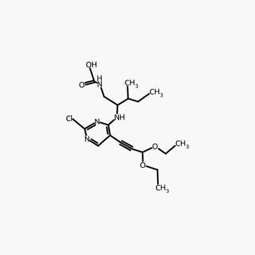 CCOC(C#Cc1cnc(Cl)nc1NC(CNC(=O)O)C(C)CC)OCC